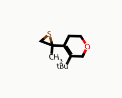 CC(C)(C)C1=C(C2(C)CS2)CCOC1